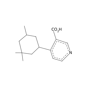 CC1CC(c2ccncc2C(=O)O)CC(C)(C)C1